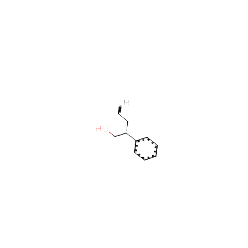 C=CC[C@H](CO)c1ccccc1